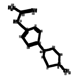 CN1CCN(c2ccc(NC(=N)N)cc2)CC1